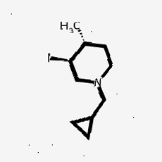 C[C@@H]1CCN(CC2CC2)C[C@H]1I